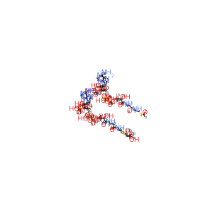 CC(=O)SCCNC(=O)CCNC(=O)C(O)C(C)(C)COP(=O)(O)OP(=O)(O)OC[C@H]1O[C@@H](n2cnc3c(N)ncnc32)[C@H](O)[C@@H]1OP(=O)(O)O.CC(C)(COP(=O)(O)OP(=O)(O)OC[C@H]1O[C@@H](n2cnc3c(N)ncnc32)[C@H](O)[C@@H]1OP(=O)(O)O)C(O)C(=O)NCCC(=O)NCCSC(=O)CC(=O)O